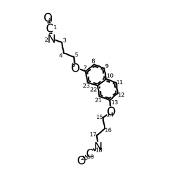 O=C=NCCCOc1ccc2ccc(OCCCN=C=O)cc2c1